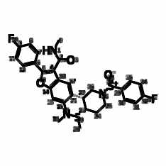 CNC(=O)c1c(-c2ccc(F)cc2)oc2cc(N(C)SC)c([C@H]3CCCN([S+]([O-])c4ccc(F)cc4)C3)cc12